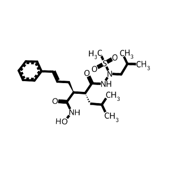 CC(C)C[C@@H](C(=O)NN(CC(C)C)S(C)(=O)=O)[C@H](C/C=C/c1ccccc1)C(=O)NO